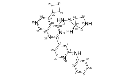 c1ccc(Nc2cc(-c3nc(NC4C5CNC[C@@H]54)c4c(C5CCC5)cncc4n3)ccn2)cc1